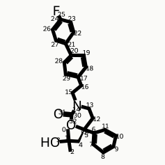 CC(C)(O)C[C@]1(c2ccccc2)CCN(CCc2ccc(-c3ccc(F)cc3)cc2)C(=O)O1